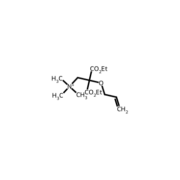 C=CCOC(C[N+](C)(C)C)(C(=O)OCC)C(=O)OCC